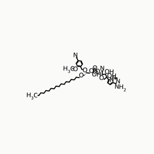 CCCCCCCCCCCCCCCCCCOC[C@@H](COP(=O)(O)OC[C@@]1(C#N)OC[C@@](O)(c2ccc3c(N)ncnn23)[C@@H]1O)OCc1ccc(C#N)cc1OC